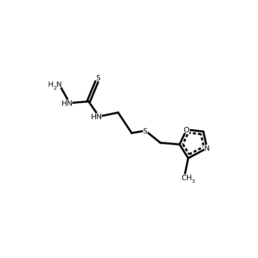 Cc1ncoc1CSCCNC(=S)NN